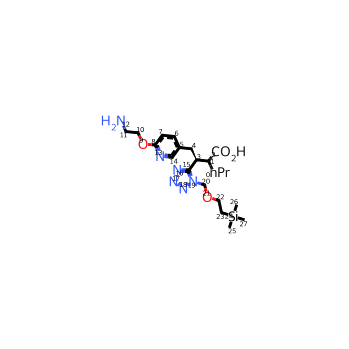 CCCC(C(=O)O)[C@H](Cc1ccc(OCCN)nc1)c1nnnn1COCC[Si](C)(C)C